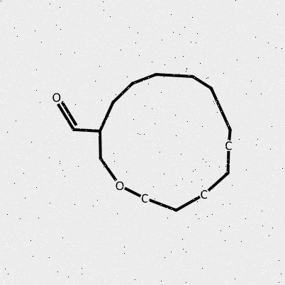 O=CC1CCCCCCCCCCCOC1